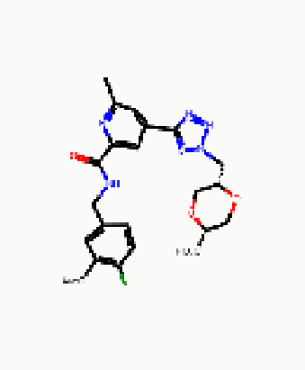 COc1cc(CNC(=O)c2cc(-c3nnn(C[C@H]4CO[C@H](C(=O)O)CO4)n3)cc(C)n2)ccc1F